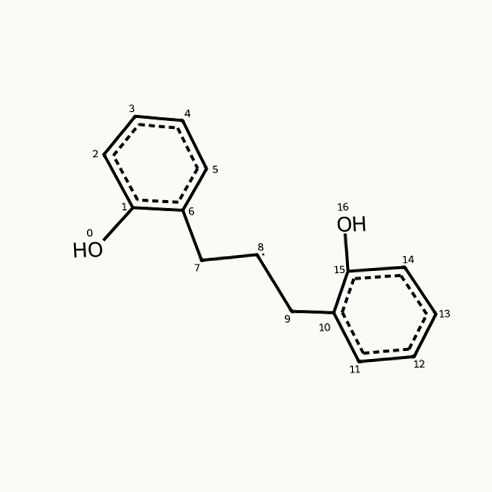 Oc1ccccc1C[CH]Cc1ccccc1O